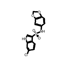 O=S(=O)(Nc1ccc2c(c1)OCO2)c1c[nH]c2cc(Cl)ccc12